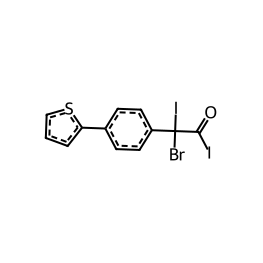 O=C(I)C(Br)(I)c1ccc(-c2cccs2)cc1